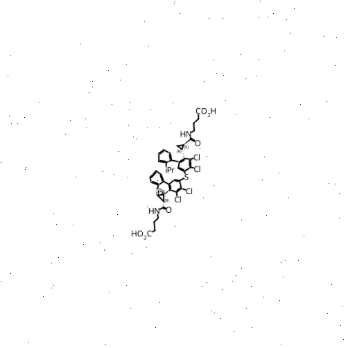 CC(C)c1ccccc1-c1cc(Sc2cc(-c3ccccc3C(C)C)c([C@@H]3C[C@H]3C(=O)NCCCC(=O)O)c(Cl)c2Cl)c(Cl)c(Cl)c1[C@@H]1C[C@H]1C(=O)NCCCC(=O)O